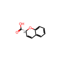 O=C(O)[C@H]1C=Cc2ccccc2O1